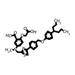 CCCC(CCC)c1ccc(OCc2ccc(-c3csc(CN(C)c4ccc(OCC(=O)O)c(C(=O)O)c4)n3)cc2)cc1